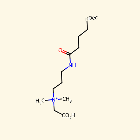 CCCCCCCCCCCCCC(=O)NCCC[N+](C)(C)CC(=O)O